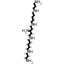 NCCCNCCCCCNCCC(N)CCNCCCCCNCCCN